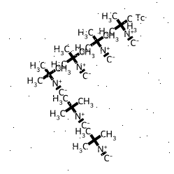 [C-]#[N+]C(C)(C)C.[C-]#[N+]C(C)(C)C.[C-]#[N+]C(C)(C)C.[C-]#[N+]C(C)(C)C.[C-]#[N+]C(C)(C)C.[C-]#[N+]C(C)(C)C.[Tc]